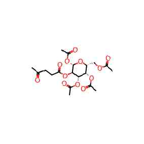 CC(=O)CCC(=O)O[C@H]1[C@H](OC(C)=O)O[C@H](COC(C)=O)[C@H](OC(C)=O)[C@@H]1OC(C)=O